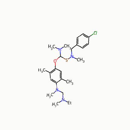 CCN(C)CN(C)c1cc(C)c(OC(SN(C)Cc2ccc(Cl)cc2)N(C)C)cc1C